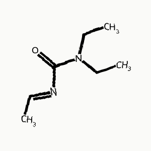 CC=NC(=O)N(CC)CC